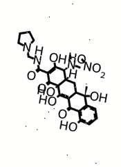 CN(C)[C@@H]1C(O)=C(C(=O)NCN2CCCC2)C(=O)[C@@]2(O)C(O)=C3C(=O)c4c(O)cccc4[C@@](C)(O)C3C[C@@H]12.O=[N+]([O-])O